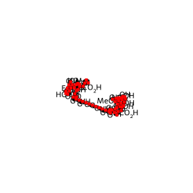 CCC1CC(C(=O)OC)C[C@@H](O[C@@H]2OC(CO)[C@H](O)C(O[C@@H](CC3CCCCC3)C(=O)O)C2NC(=O)CSC2CC(=O)N(CCC(=O)NCCOCCOCCOCCNC(=O)CCN3C(=O)CC(SCC(=O)NC4C(O[C@@H](CC5CCCCC5)C(=O)O)[C@@H](O)C(CO)O[C@H]4O[C@@H]4CC(C(=O)OC)CC(CC)C4O[C@@H]4OC(C)[C@@H](O)C(O)C4O)C3=O)C2=O)C1O[C@@H]1OC(C)[C@@H](O)C(O)C1O